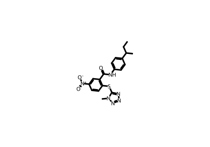 CCC(C)c1ccc(NC(=O)c2cc([N+](=O)[O-])ccc2Sc2nnnn2C)cc1